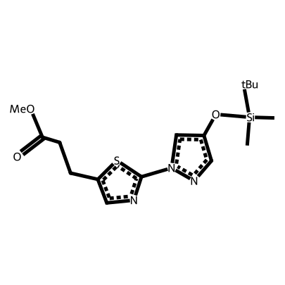 COC(=O)CCc1cnc(-n2cc(O[Si](C)(C)C(C)(C)C)cn2)s1